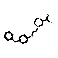 CC(=O)C1CN(CCOc2ccc(Cc3ccccc3)cc2)CCN1